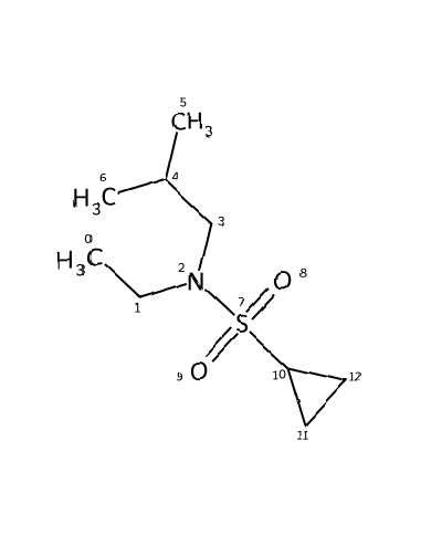 CCN(CC(C)C)S(=O)(=O)C1CC1